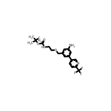 CC(C)(C)OC(=O)NCCOCc1cc(N)cc(-c2ccc(C(F)(F)F)nc2)c1